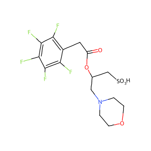 O=C(Cc1c(F)c(F)c(F)c(F)c1F)OC(CN1CCOCC1)CS(=O)(=O)O